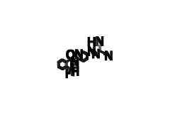 N#CC(C#N)=NNc1ccc(NC(=O)c2ccccc2C(F)(F)F)nc1